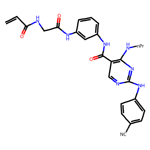 C=CC(=O)NCC(=O)Nc1cccc(NC(=O)c2cnc(Nc3ccc(C#N)cc3)nc2NCCC)c1